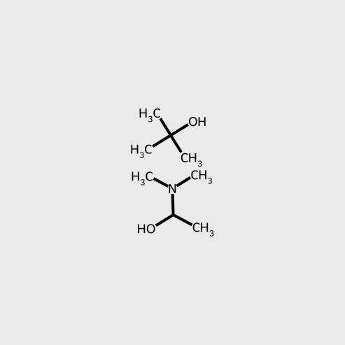 CC(C)(C)O.CC(O)N(C)C